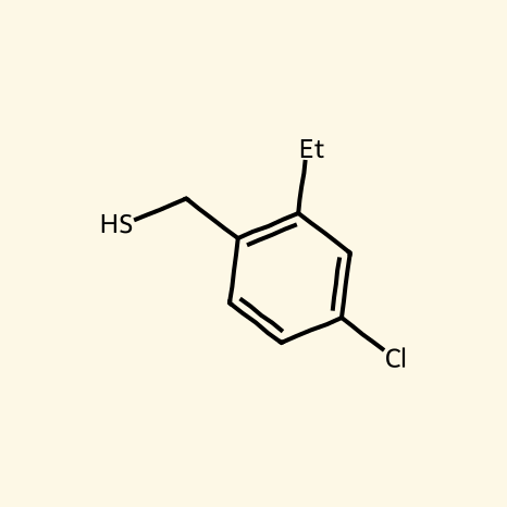 CCc1cc(Cl)ccc1CS